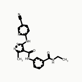 CCNC(=O)c1cccc(NC(=O)c2c(C)nsc2Nc2ccc(C#N)cn2)c1